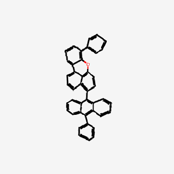 c1ccc(-c2cccc3c2Oc2ccc(-c4c5ccccc5c(-c5ccccc5)c5ccccc45)c4cccc-3c24)cc1